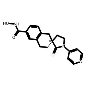 O=C(NO)c1ccc2c(c1)CC[C@@]1(CCN(c3ccncc3)C1=O)C2